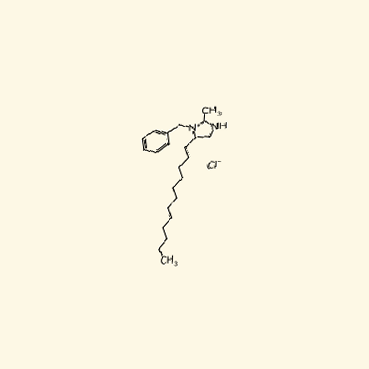 CCCCCCCCCCCCC1CNC(C)=[N+]1Cc1ccccc1.[Cl-]